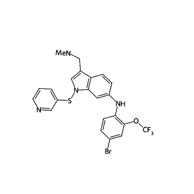 CNCc1cn(Sc2cccnc2)c2cc(Nc3ccc(Br)cc3OC(F)(F)F)ccc12